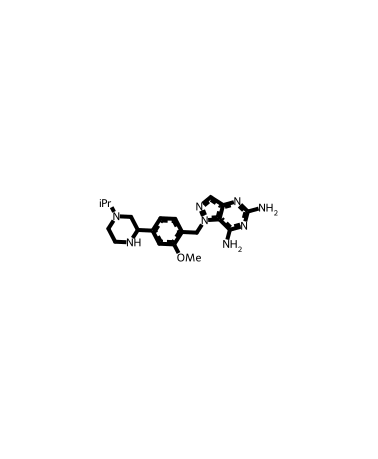 COc1cc(C2CN(C(C)C)CCN2)ccc1Cn1ncc2nc(N)nc(N)c21